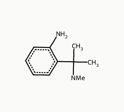 CNC(C)(C)c1ccccc1N